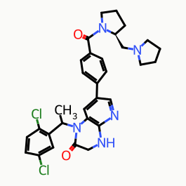 CC(c1cc(Cl)ccc1Cl)N1C(=O)CNc2ncc(-c3ccc(C(=O)N4CCC[C@H]4CN4CCCC4)cc3)cc21